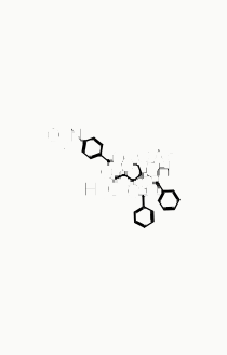 CC(=O)OC1O[C@H]([C@@H](C)OC(=O)c2ccc([N+](=O)[O-])cc2)[C@@H](OC(=O)c2ccccc2)[C@@]1(C)OC(=O)c1ccccc1